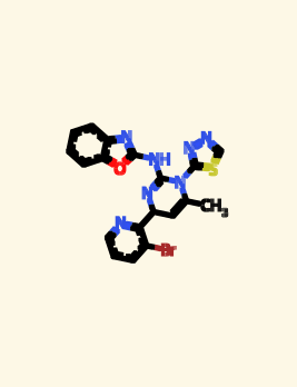 CC1=CC(c2ncccc2Br)N=C(Nc2nc3ccccc3o2)N1c1nncs1